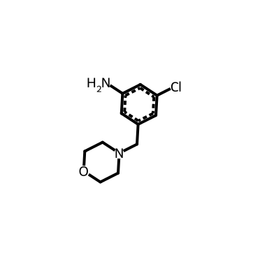 Nc1cc(Cl)cc(CN2CCOCC2)c1